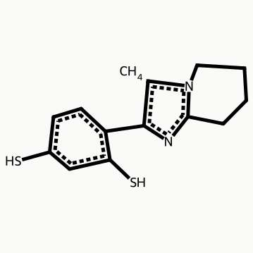 C.Sc1ccc(-c2cn3c(n2)CCCC3)c(S)c1